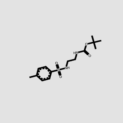 Cc1ccc(S(=O)(=O)NCCNC(=O)OC(C)(C)C)cc1